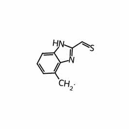 [CH2]c1cccc2[nH]c(C=S)nc12